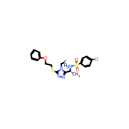 CCn1c(SCCOc2ccccc2)nnc1[C@@H](C)NS(=O)(=O)c1ccc(Cl)cc1